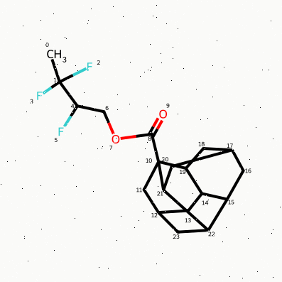 CC(F)(F)C(F)COC(=O)C12CC3CC4C5CC(CC41)CC2C5C3